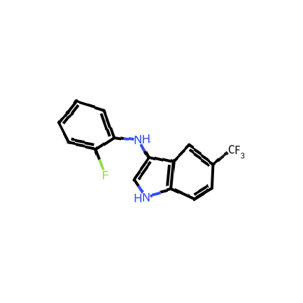 Fc1ccccc1Nc1c[nH]c2ccc(C(F)(F)F)cc12